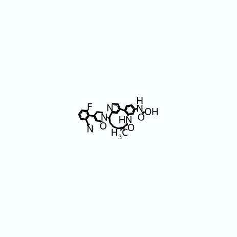 C[C@@H]1CCC[C@H](N2CCC(c3c(F)cccc3C#N)=CC2=O)c2cc(ccn2)-c2ccc(NC(=O)O)cc2NC1=O